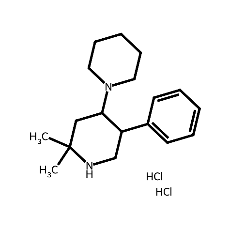 CC1(C)CC(N2CCCCC2)C(c2ccccc2)CN1.Cl.Cl